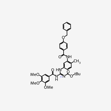 COc1cc(C(=O)N/C(=N/C(=O)OC(C)(C)C)Nc2ccc(C)c(NC(=O)c3ccc(OCc4ccccc4)cc3)c2)cc(OC)c1OC